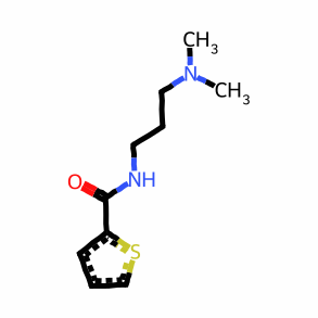 CN(C)CCCNC(=O)c1cccs1